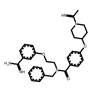 CC(=N)N1CCC(Oc2ccc(C(=O)N(CCOc3cccc(C(=N)N)c3)Cc3ccccc3)cc2)CC1